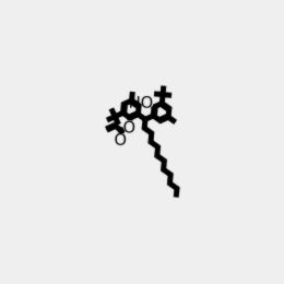 C=CC(=O)Oc1c(C(CCCCCCCCCCC)c2cc(C)cc(C(C)(C)C)c2O)cc(C)cc1C(C)(C)C